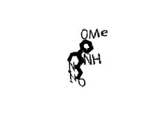 COc1ccc2[nH]c3c(c2c1)CCN1CN(C)C(=O)CC31